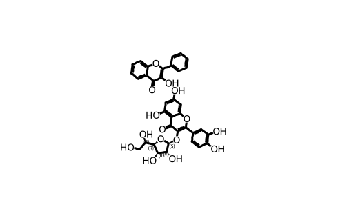 O=c1c(O)c(-c2ccccc2)oc2ccccc12.O=c1c(O[C@@H]2O[C@H]([C@H](O)CO)[C@H](O)[C@H]2O)c(-c2ccc(O)c(O)c2)oc2cc(O)cc(O)c12